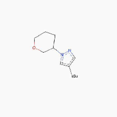 CC(C)(C)c1cnn(C2CCCOC2)c1